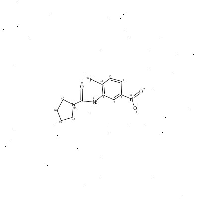 O=C(Nc1cc([N+](=O)[O-])ccc1F)N1CCCC1